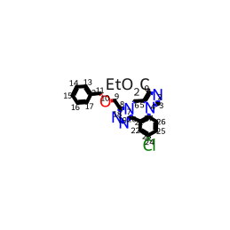 CCOC(=O)c1ncn2c1Cn1c(COCc3ccccc3)nnc1-c1cc(Cl)ccc1-2